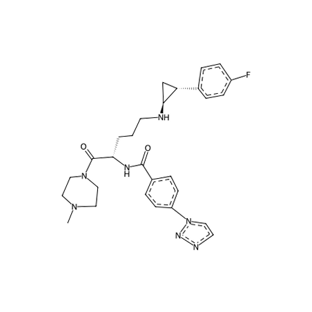 CN1CCN(C(=O)[C@H](CCCN[C@H]2C[C@@H]2c2ccc(F)cc2)NC(=O)c2ccc(-n3ccnn3)cc2)CC1